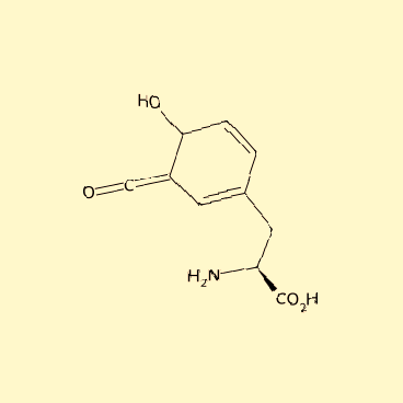 N[C@@H](CC1=CC(=C=O)C(O)C=C1)C(=O)O